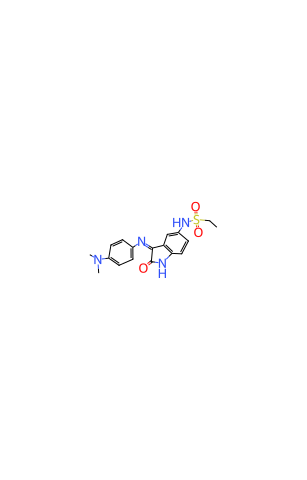 CCS(=O)(=O)Nc1ccc2c(c1)/C(=N/c1ccc(N(C)C)cc1)C(=O)N2